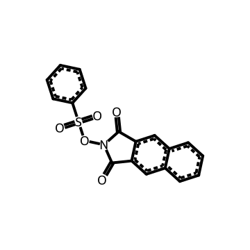 O=C1c2cc3ccccc3cc2C(=O)N1OS(=O)(=O)c1ccccc1